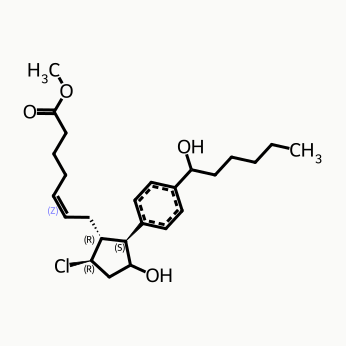 CCCCCC(O)c1ccc([C@H]2C(O)C[C@@H](Cl)[C@@H]2C/C=C\CCCC(=O)OC)cc1